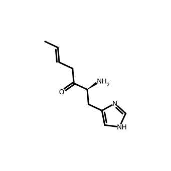 CC=CCC(=O)[C@@H](N)Cc1c[nH]cn1